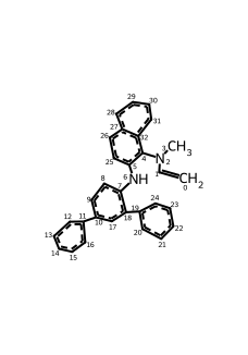 C=CN(C)c1c(Nc2ccc(-c3ccccc3)cc2-c2ccccc2)ccc2ccccc12